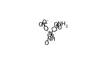 NS(=O)(=O)c1ccc(-n2nc(NC=O)cc2-c2ccc([N+](=O)[O-])cc2)cc1